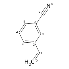 C=Cc1cccc(C#N)c1